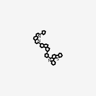 c1ccc(-c2ccc3ccc4ccc(-c5ccc6c(ccc7ccc(-c8cccc(-c9nc%10ccccc%10c%10c9ccc9c%11ccccc%11sc9%10)c8)cc76)c5)nc4c3n2)cc1